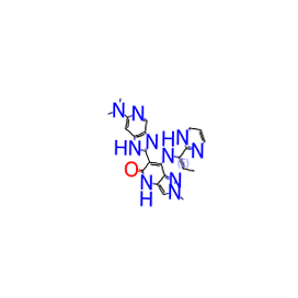 C/C=C(/Nc1c(-c2nc3cnc(N(C)C)cc3[nH]2)c(=O)[nH]c2cn(C)nc12)c1ncccn1